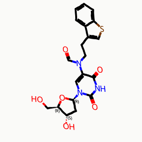 O=CN(CCc1csc2ccccc12)c1cn([C@H]2C[C@H](O)[C@@H](CO)O2)c(=O)[nH]c1=O